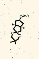 CC1(C)COC2(C[C@H]3CC(OS)C[C@H]3C2)OC1